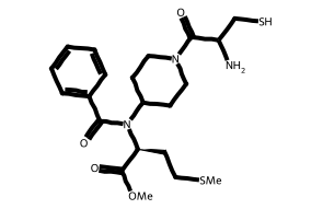 COC(=O)[C@H](CCSC)N(C(=O)c1ccccc1)C1CCN(C(=O)C(N)CS)CC1